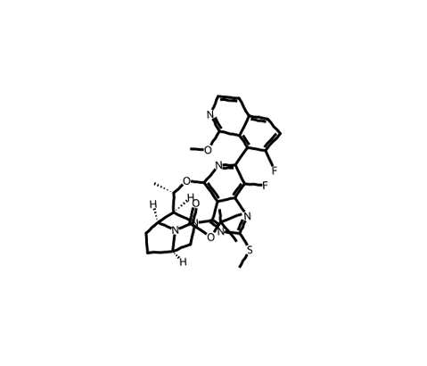 COc1nccc2ccc(F)c(-c3nc4c5c(nc(SC)nc5c3F)N3C[C@H]5CC[C@@H]([C@H]3[C@H](C)O4)N5C(=O)OC(C)(C)C)c12